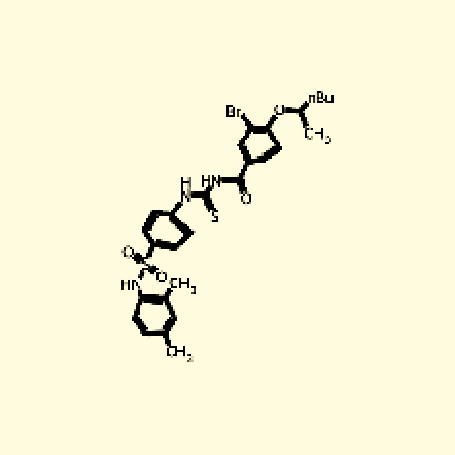 CCCCC(C)Oc1ccc(C(=O)NC(=S)Nc2ccc(S(=O)(=O)Nc3ccc(C)cc3C)cc2)cc1Br